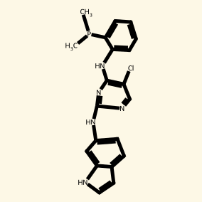 CP(C)c1ccccc1Nc1nc(Nc2ccc3cc[nH]c3c2)ncc1Cl